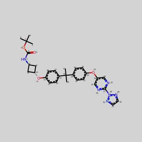 CC(C)(C)OC(=O)N[C@H]1C[C@H](Oc2ccc(C(C)(C)c3ccc(Oc4cnc(-n5nccn5)nc4)cc3)cc2)C1